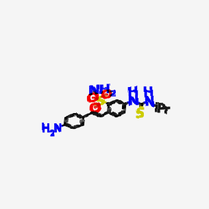 CC(C)NC(=S)Nc1ccc(/C=C/c2ccc(N)cc2)c(S(=O)(=O)ON)c1